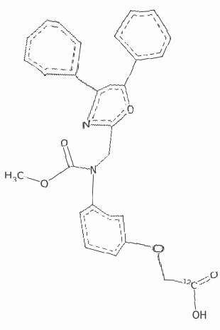 COC(=O)N(Cc1nc(-c2ccccc2)c(-c2ccccc2)o1)c1cccc(OC[12C](=O)O)c1